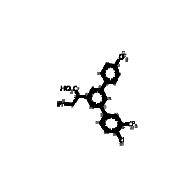 CC(C)CC(C(=O)O)c1cc(-c2ccc(C(F)(F)F)cc2)cc(-c2ccc(Cl)c(C(F)(F)F)c2)c1